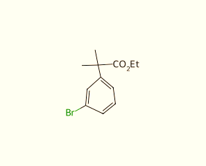 CCOC(=O)C(C)(C)c1cccc(Br)c1